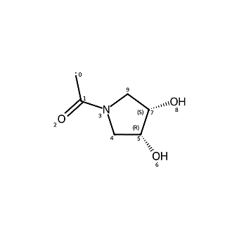 [CH2]C(=O)N1C[C@@H](O)[C@@H](O)C1